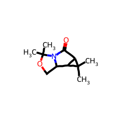 CC1(C)C2C(=O)N3C(COC3(C)C)C21